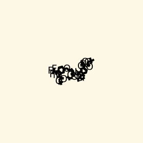 CC[Si](CC)(CC)O[C@@H](CN(CCOc1ccc2c(C(F)(F)F)nn(C(=O)OC(C)(C)C)c2c1)C(=O)OC(C)(C)C)c1cccc(N(C(=O)OC(C)(C)C)S(C)(=O)=O)c1